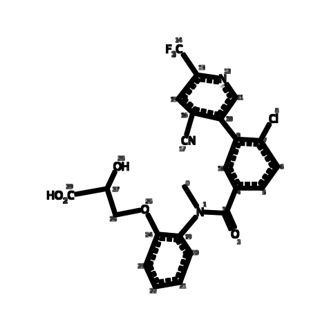 CN(C(=O)c1ccc(Cl)c(-c2cnc(C(F)(F)F)cc2C#N)c1)c1ccccc1OCC(O)C(=O)O